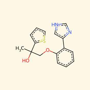 CC(O)(COc1ccccc1-c1c[nH]cn1)c1cccs1